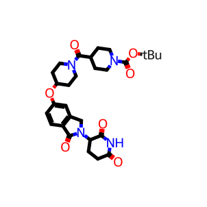 CC(C)(C)OC(=O)N1CCC(C(=O)N2CCC(Oc3ccc4c(c3)CN(C3CCC(=O)NC3=O)C4=O)CC2)CC1